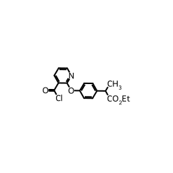 CCOC(=O)C(C)c1ccc(Oc2ncccc2C(=O)Cl)cc1